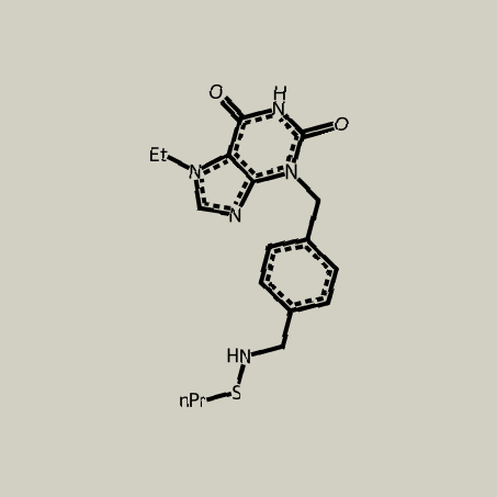 CCCSNCc1ccc(Cn2c(=O)[nH]c(=O)c3c2ncn3CC)cc1